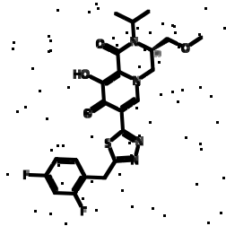 COC[C@H]1Cn2cc(-c3nnc(Cc4ccc(F)cc4F)s3)c(=O)c(O)c2C(=O)N1C(C)C